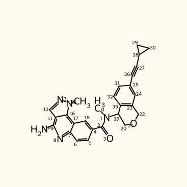 CN(C(=O)c1ccc2nc(N)c3cnn(C)c3c2c1)C1COCc2cc(C#CC3CC3)ccc21